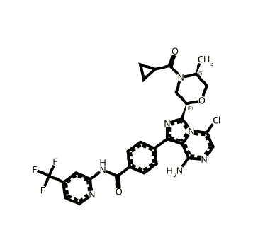 C[C@H]1CO[C@@H](c2nc(-c3ccc(C(=O)Nc4cc(C(F)(F)F)ccn4)cc3)c3c(N)ncc(Cl)n23)CN1C(=O)C1CC1